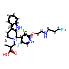 CC(CN1[C@H](c2c(F)cnc(OCCNCCCF)c2Cl)c2[nH]c3ccccc3c2C[C@H]1C)C(=O)O